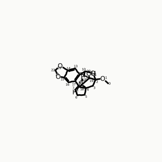 COC12CC34CCCN3CC(O1)c1cc3c(cc1[C@@H]4[C@@H]2O)OCO3